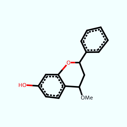 COC1CC(c2ccccc2)Oc2cc(O)ccc21